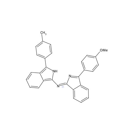 COc1ccc(C2=N/C(=N\c3[nH]c(-c4ccc(C)cc4)c4ccccc34)c3ccccc32)cc1